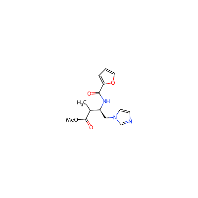 COC(=O)C(C)[C@H](Cn1ccnc1)NC(=O)c1ccco1